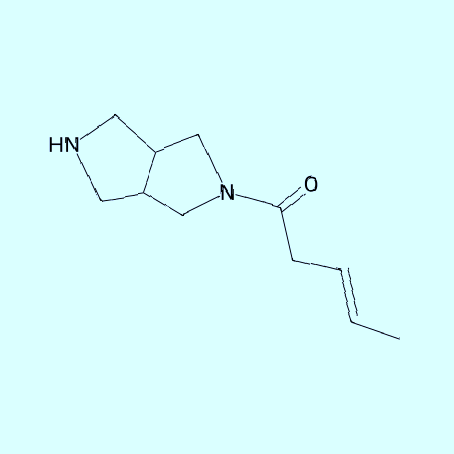 CC=CCC(=O)N1CC2CNCC2C1